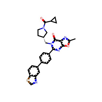 Cc1nc2c(=O)n(C[C@@H]3CCN(C(=O)C4CC4)C3)c(-c3ccc(-c4ccc5scnc5c4)cc3)nc2o1